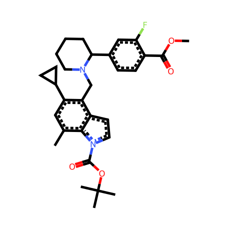 COC(=O)c1ccc(C2CCCCN2Cc2c(C3CC3)cc(C)c3c2ccn3C(=O)OC(C)(C)C)cc1F